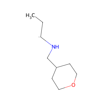 CC[CH]NCC1CCOCC1